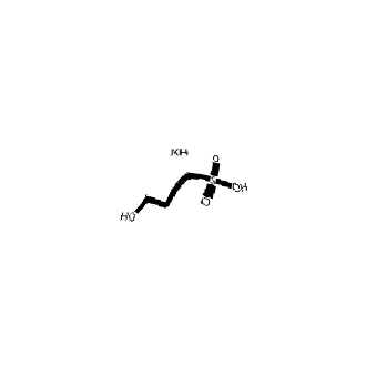 O=S(=O)(O)CCCO.[KH]